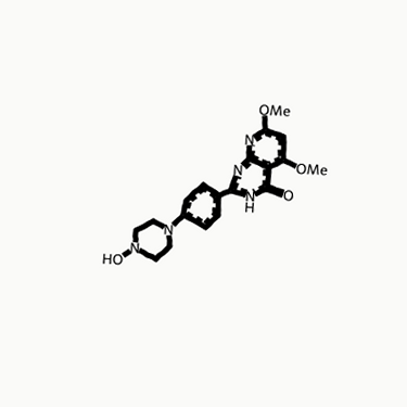 COc1cc(OC)c2c(=O)[nH]c(-c3ccc(N4CCN(O)CC4)cc3)nc2n1